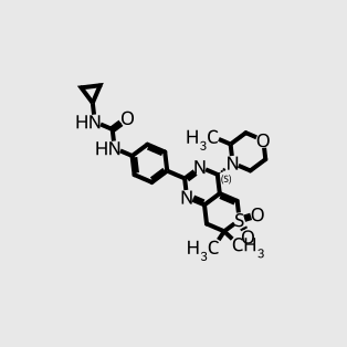 CC1COCCN1[C@H]1N=C(c2ccc(NC(=O)NC3CC3)cc2)N=C2CC(C)(C)S(=O)(=O)C=C21